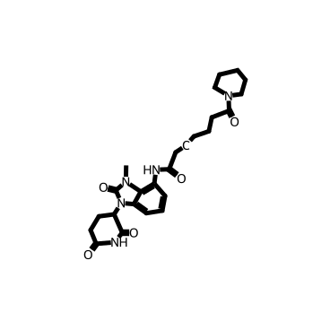 Cn1c(=O)n(C2CCC(=O)NC2=O)c2cccc(NC(=O)CCCCCC(=O)N3CCCCC3)c21